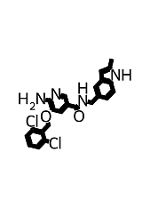 Cc1cc2cc(CNC(=O)c3cnc(N)c(OCc4c(Cl)cccc4Cl)c3)ccc2[nH]1